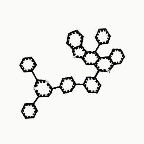 c1ccc(-c2cc(-c3ccc(-c4cccc(-c5nc6ccccc6c6c(-c7ccccc7)c7c(cc56)oc5ccccc57)c4)cc3)nc(-c3ccccc3)n2)cc1